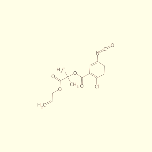 C=CCOC(=O)C(C)(C)OC(=O)c1cc(N=C=O)ccc1Cl